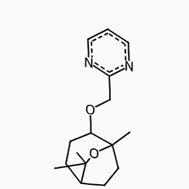 CC1(C)OC2(C)CCC1CCC2OCc1ncccn1